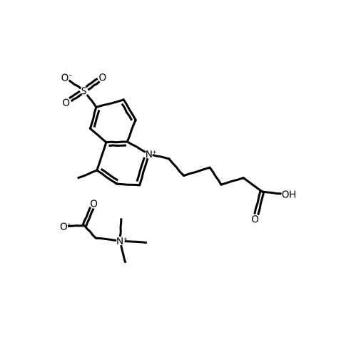 C[N+](C)(C)CC(=O)[O-].Cc1cc[n+](CCCCCC(=O)O)c2ccc(S(=O)(=O)[O-])cc12